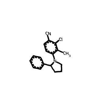 Cc1c(N2CCCC2c2ccccc2)ccc(C#N)c1Cl